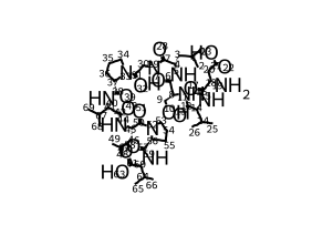 CC(C)C[C@H](NC(=O)[C@H](CO)NC(=O)[C@@H](NC(=O)[C@@H](N)CC(=O)O)C(C)C)C(=O)NCC(=O)N1CCC[C@H]1C(=O)N[C@H](C(=O)N[C@@H](CC(C)C)C(=O)N1CCC[C@H]1C(=O)N[C@H](C(=O)O)C(C)C)C(C)C